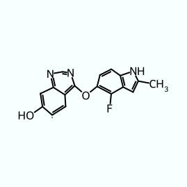 Cc1cc2c(F)c(Oc3ncnc4cc(O)[c]cc34)ccc2[nH]1